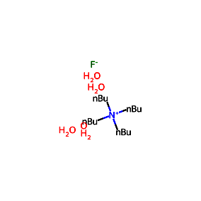 CCCC[N+](CCCC)(CCCC)CCCC.O.O.O.O.[F-]